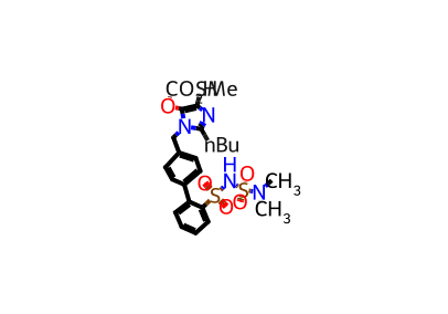 CCCCc1nc(SC)c(OC(=O)O)n1Cc1ccc(-c2ccccc2S(=O)(=O)NS(=O)(=O)N(C)C)cc1